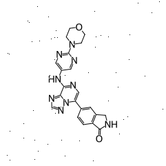 O=C1NCc2cc(-c3cnc(Nc4cnc(N5CCOCC5)nc4)c4ncnn34)ccc21